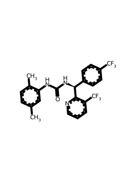 Cc1ccc(C)c(NC(=O)N[C@@H](c2ccc(C(F)(F)F)cc2)c2ncccc2C(F)(F)F)c1